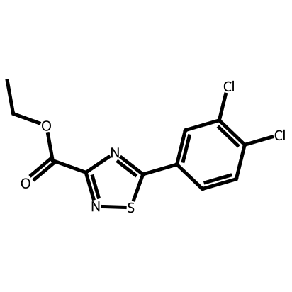 CCOC(=O)c1nsc(-c2ccc(Cl)c(Cl)c2)n1